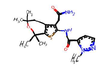 Cn1nccc1C(=O)Nc1sc2c(c1C(N)=O)CC(C)(C)OC2(C)C